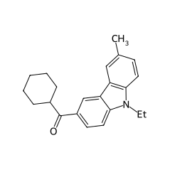 CCn1c2ccc(C)cc2c2cc(C(=O)C3CCCCC3)ccc21